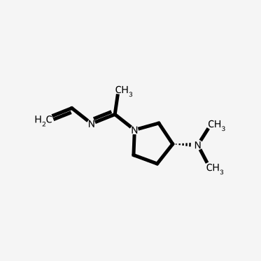 C=C/N=C(\C)N1CC[C@@H](N(C)C)C1